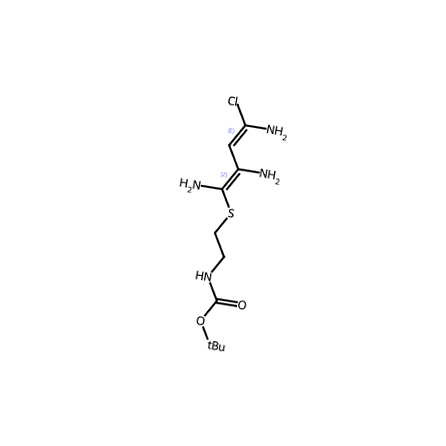 CC(C)(C)OC(=O)NCCS/C(N)=C(N)/C=C(\N)Cl